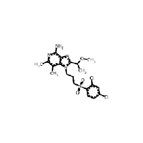 COC(C)c1nc2c(N)nc(C)c(C)c2n1CCCS(=O)(=O)c1ccc(Cl)cc1Cl